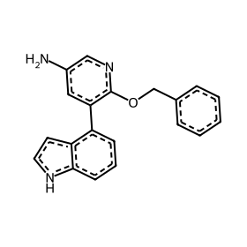 Nc1cnc(OCc2ccccc2)c(-c2cccc3[nH]ccc23)c1